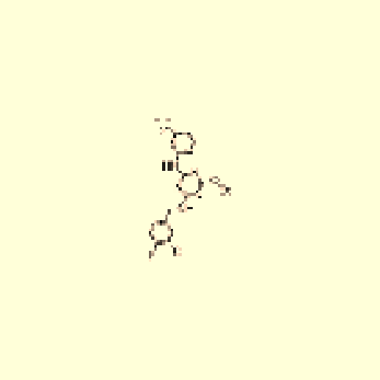 CCOc1nc(NCc2ccc(F)c(Cl)c2)nc(Nc2cccc(C(F)(F)F)c2)n1